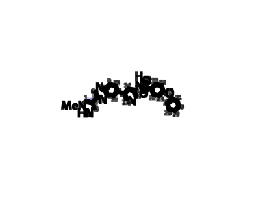 CN/C=C(\C=N)c1cnc2ccc(-c3cncc(NS(=O)(=O)c4ccc(Oc5ccccc5)cc4)c3)cc2n1